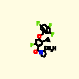 O=C(O)[C@@H]1CCCN1C(=O)c1cc(C2CC2)c(OCC23CC4(F)CC(F)(CC(F)(C4)C2)C3)cc1F